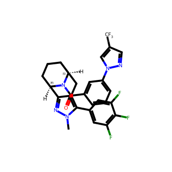 Cn1nc2c(c1-c1cc(F)c(F)c(F)c1)C[C@@H]1CCC[C@H]2N1C(=O)c1cccc(-n2cc(C(F)(F)F)cn2)c1